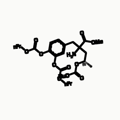 CCCOC(=O)Oc1ccc(CC(N)(C[C@H](C)OC(=O)OCC(C)C)C(=O)OC)cc1OC(=O)OCCC